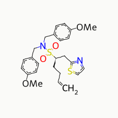 C=CCC[C@H](Cc1nccs1)S(=O)(=O)N(Cc1ccc(OC)cc1)Cc1ccc(OC)cc1